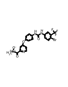 C[NH+]([O-])C(=O)c1cc(Oc2ccc(NC(=O)Nc3ccc(Br)c(C(F)(F)F)c3)cc2)ccn1